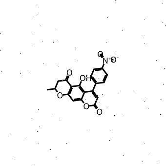 CC1CC(=O)c2c(cc3oc(=O)cc(-c4ccc([N+](=O)[O-])cc4)c3c2O)O1